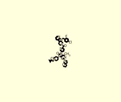 Cc1nc(N2CCC3(CCCO3)C2)nc2c1n(-c1ccc(C(=O)N3CCc4c(n(Cc5ccc(Cl)cc5F)c5ncccc45)C3)nc1)c(=O)n2C1CCN(CC2(C(F)(F)F)CC2)CC1